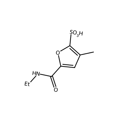 CCNC(=O)c1cc(C)c(S(=O)(=O)O)o1